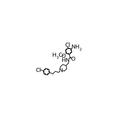 COc1cc(Cl)c(N)cc1C(=O)NCC1CCN(CC[CH]c2ccc(Cl)cc2)CC1